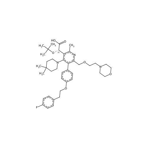 Cc1nc(COCCN2CCOCC2)c(-c2ccc(OCCc3ccc(F)cc3)cc2)c(N2CCC(C)(C)CC2)c1[C@H](OC(C)(C)C)C(=O)O